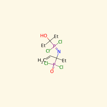 C=CC(CC)(N=P(Cl)(Cl)C(O)(CC)CC)P(=O)(Cl)Cl